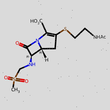 CC(=O)NCCSC1=C(C(=O)O)N2C(=O)[C@H](NCS(C)(=O)=O)[C@H]2C1